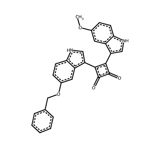 COc1ccc2[nH]cc(-c3c(-c4c[nH]c5ccc(OCc6ccccc6)cc45)c(=O)c3=O)c2c1